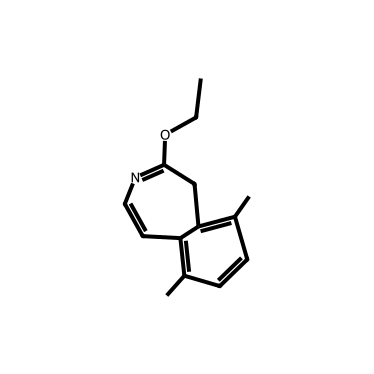 CCOC1=NC=Cc2c(C)ccc(C)c2C1